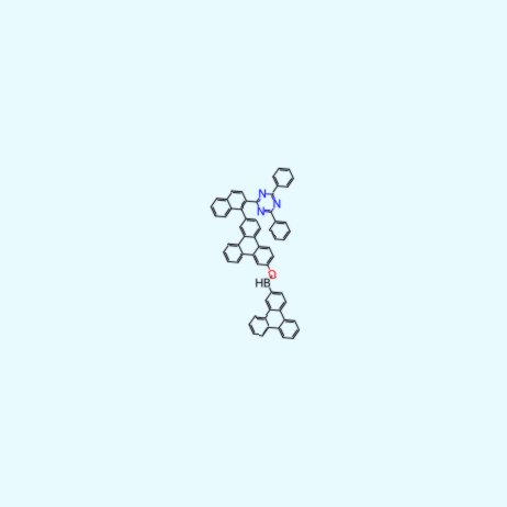 B(Oc1ccc2c3ccc(-c4c(-c5nc(-c6ccccc6)nc(-c6ccccc6)n5)ccc5ccccc45)cc3c3ccccc3c2c1)c1ccc2c3ccccc3c3ccccc3c2c1